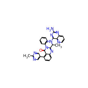 Cc1ncc(-c2cccc3nc(C(C)Nc4nc(N)nc5cccnc45)n(-c4ccccc4)c(=O)c23)cn1